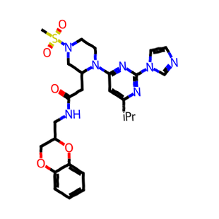 CC(C)c1cc(N2CCN(S(C)(=O)=O)CC2CC(=O)NCC2COc3ccccc3O2)nc(-n2ccnc2)n1